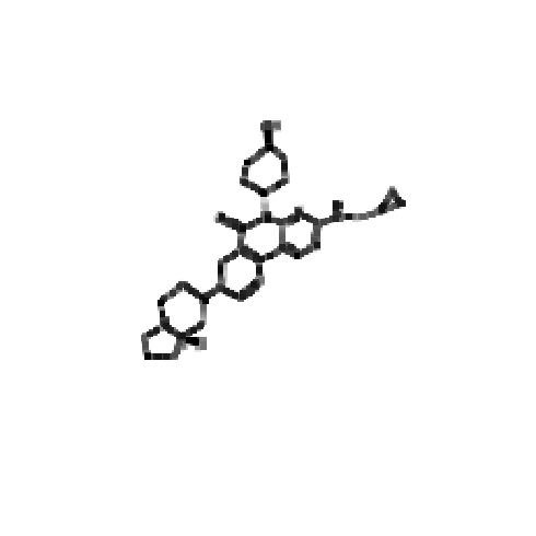 O=c1c2cc(N3CCN4CCC[C@H]4C3)ccc2c2cnc(NCC3CC3)nc2n1[C@H]1CC[C@H](O)CC1